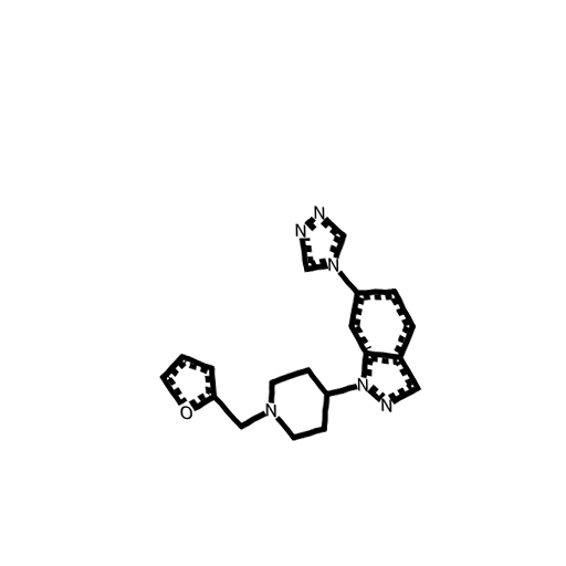 c1coc(CN2CCC(n3ncc4ccc(-n5cnnc5)cc43)CC2)c1